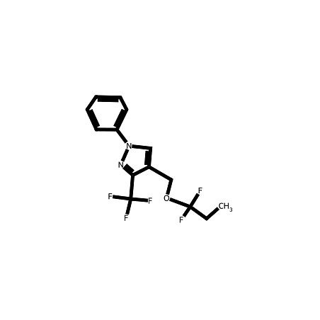 CCC(F)(F)OCc1cn(-c2ccccc2)nc1C(F)(F)F